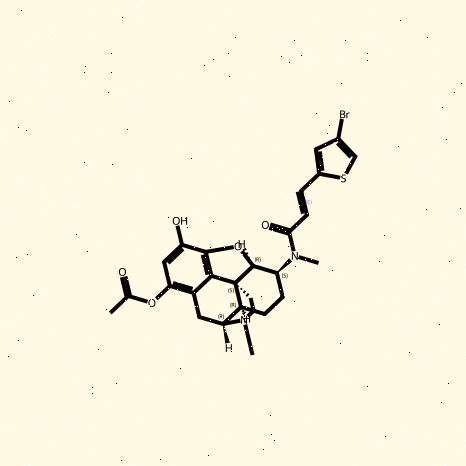 CC(=O)Oc1cc(O)c2c3c1C[C@@H]1[C@@H]4CC[C@H](N(C)C(=O)/C=C/c5cc(Br)cs5)[C@H](O2)[C@]34CCN1C